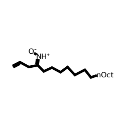 C=CCC(CCCCCCCCCCCCCCC)=[NH+][O-]